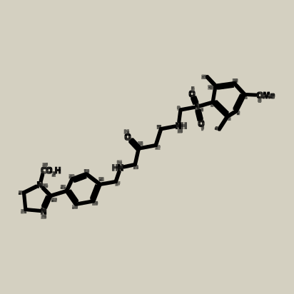 COc1cc(C)c(S(=O)(=O)CNCCC(=O)CNCc2ccc(C3=NCCN3C(=O)O)cc2)c(C)c1